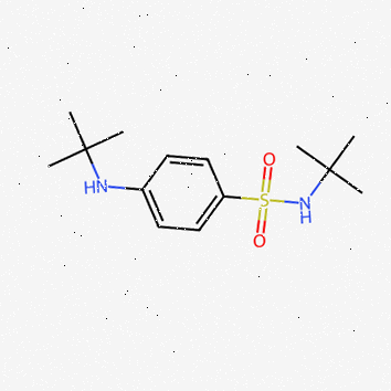 CC(C)(C)Nc1ccc(S(=O)(=O)NC(C)(C)C)cc1